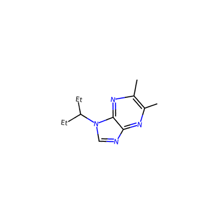 CCC(CC)n1cnc2nc(C)c(C)nc21